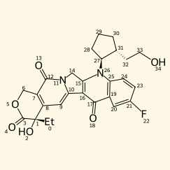 CC[C@@]1(O)C(=O)OCc2c1cc1n(c2=O)Cc2c-1c(=O)c1cc(F)ccc1n2[C@H]1CCC[C@@H]1CCO